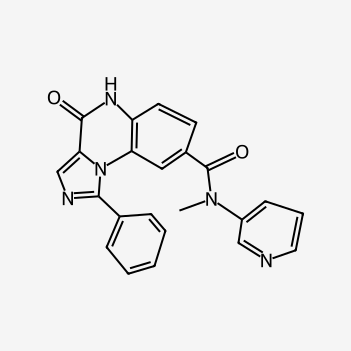 CN(C(=O)c1ccc2[nH]c(=O)c3cnc(-c4ccccc4)n3c2c1)c1cccnc1